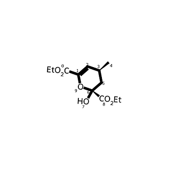 CCOC(=O)C1=C[C@@H](C)C[C@@](O)(C(=O)OCC)O1